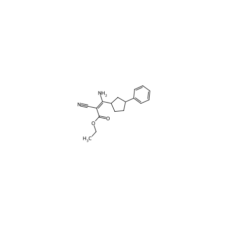 CCOC(=O)/C(C#N)=C(/N)C1CCC(c2ccccc2)C1